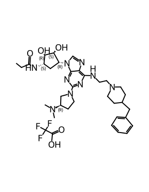 CCC(=O)N[C@H]1C[C@@H](n2cnc3c(NCCN4CCC(Cc5ccccc5)CC4)nc(N4CC[C@@H](N(C)C)C4)nc32)[C@H](O)[C@@H]1O.O=C(O)C(F)(F)F